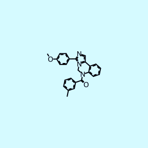 COc1ccc(-c2ncc3n2CN(C(=O)c2cccc(C)c2)c2ccccc2-3)cc1